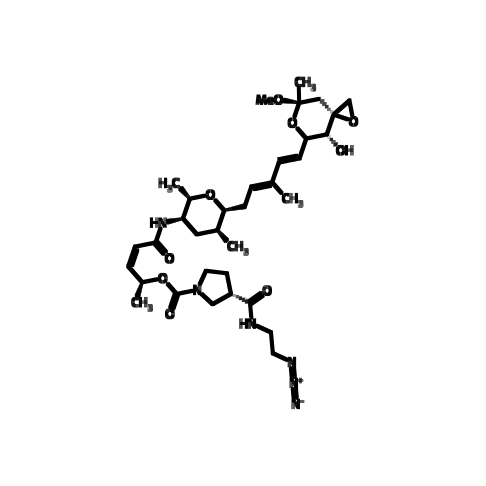 CO[C@@]1(C)C[C@@]2(CO2)[C@H](O)C(/C=C/C(C)=C/C[C@@H]2O[C@H](C)[C@H](NC(=O)/C=C\[C@H](C)OC(=O)N3CC[C@H](C(=O)NCCN=[N+]=[N-])C3)C[C@@H]2C)O1